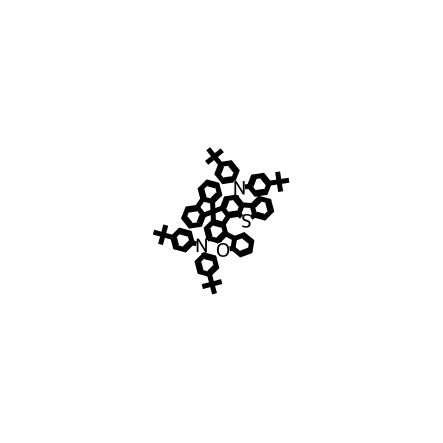 CC(C)(C)c1ccc(N(c2ccc(C(C)(C)C)cc2)c2cc3c(c4c2OC2C=CC=CC42)-c2c(cc(N(c4ccc(C(C)(C)C)cc4)c4ccc(C(C)(C)C)cc4)c4c2sc2ccccc24)C32c3ccccc3-c3ccccc32)cc1